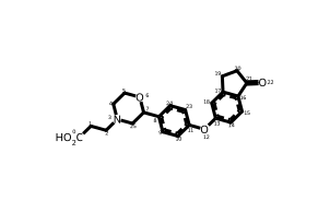 O=C(O)CCN1CCOC(c2ccc(Oc3ccc4c(c3)CCC4=O)cc2)C1